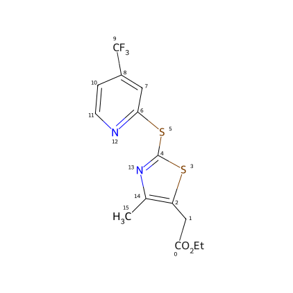 CCOC(=O)Cc1sc(Sc2cc(C(F)(F)F)ccn2)nc1C